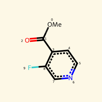 COC(=O)c1ccncc1F